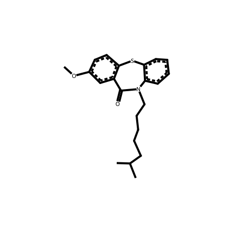 COc1ccc2c(c1)C(=O)N(CCCCCC(C)C)c1ccccc1S2